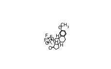 COc1ccc2c(c1)[C@H]1CC[C@]3(CS(=O)(=O)C(F)(F)F)C(=O)CC[C@H]3[C@@H]1CC2